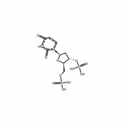 O=c1ccn([C@H]2C[C@H](OP(=O)(O)O)[C@@H](COP(=O)(O)O)O2)c(=O)[nH]1